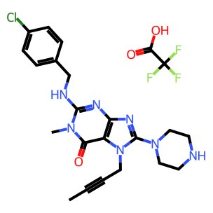 CC#CCn1c(N2CCNCC2)nc2nc(NCc3ccc(Cl)cc3)n(C)c(=O)c21.O=C(O)C(F)(F)F